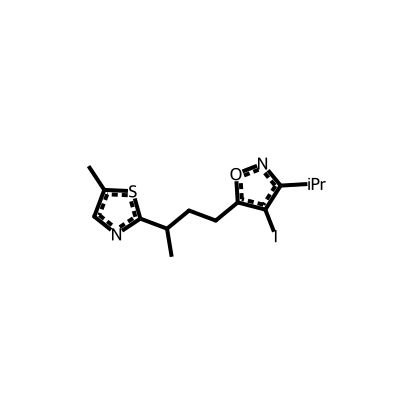 Cc1cnc(C(C)CCc2onc(C(C)C)c2I)s1